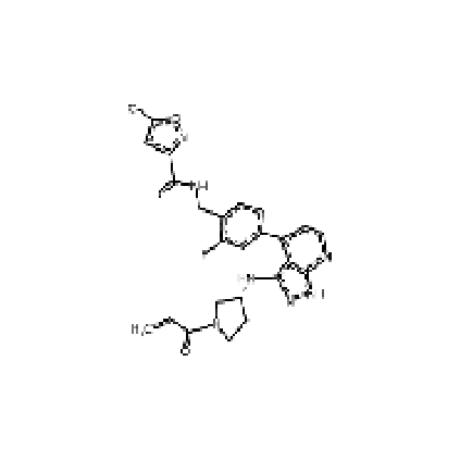 C=CC(=O)N1CC[C@@H](Nc2n[nH]c3nccc(-c4ccc(CNC(=O)c5cc(Cl)on5)c(F)c4)c23)C1